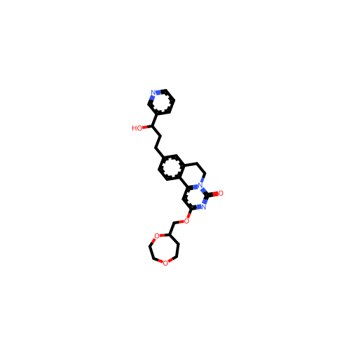 O=c1nc(OCC2CCOCCO2)cc2n1CCc1cc(CCC(O)c3cccnc3)ccc1-2